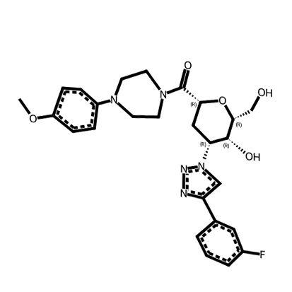 COc1ccc(N2CCN(C(=O)[C@H]3C[C@@H](n4cc(-c5cccc(F)c5)nn4)[C@@H](O)[C@@H](CO)O3)CC2)cc1